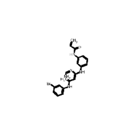 C=CC(=O)Nc1cccc(NC(=C/C(=C)Nc2cccc(Br)c2)/N=C\N)c1